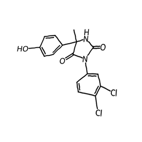 CC1(c2ccc(O)cc2)NC(=O)N(c2ccc(Cl)c(Cl)c2)C1=O